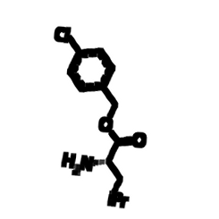 CC(C)C[C@H](N)C(=O)OCc1ccc(Cl)cc1